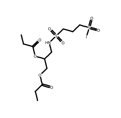 CCC(=O)OCC(CNS(=O)(=O)CCCS(=O)(=O)I)OC(=O)CC